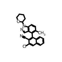 Cc1ccc2c(cnn2C2CCCCO2)c1-c1c(C#N)c(Cl)cc2ccccc12